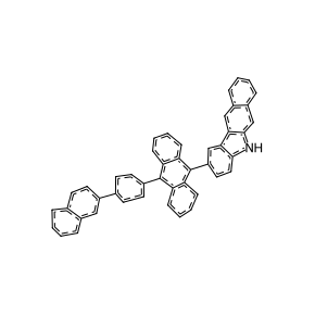 c1ccc2cc(-c3ccc(-c4c5ccccc5c(-c5ccc6[nH]c7cc8ccccc8cc7c6c5)c5ccccc45)cc3)ccc2c1